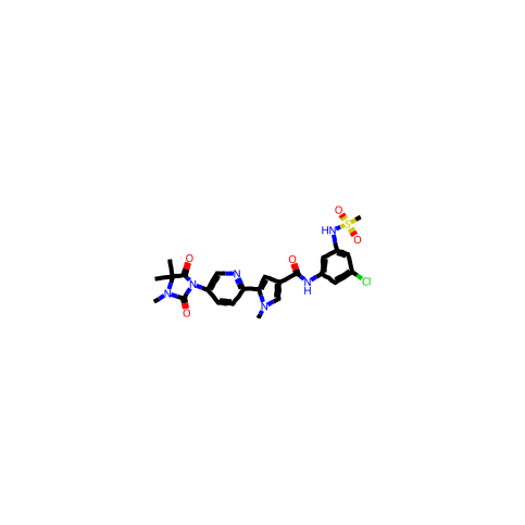 CN1C(=O)N(c2ccc(-c3cc(C(=O)Nc4cc(Cl)cc(NS(C)(=O)=O)c4)cn3C)nc2)C(=O)C1(C)C